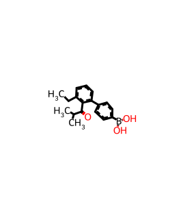 CCc1cccc(-c2ccc(B(O)O)cc2)c1C(=O)C(C)C